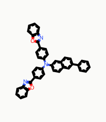 c1ccc(-c2ccc3cc(N(c4ccc(-c5nc6ccccc6o5)cc4)c4ccc(-c5nc6ccccc6o5)cc4)ccc3c2)cc1